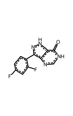 O=c1[nH]cnc2c(-c3ccc(F)cc3F)n[nH]c12